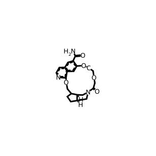 NC(=O)c1cc2ccnc3c2cc1OCCOCC(=O)N1C[C@@H]2CCC(CO3)[C@@H]2C1